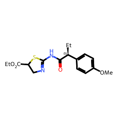 CCOC(=O)C1CN=C(NC(=O)[C@@H](CC)c2ccc(OC)cc2)S1